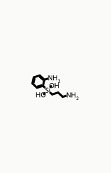 NCCC[Si](O)(O)c1ccccc1N